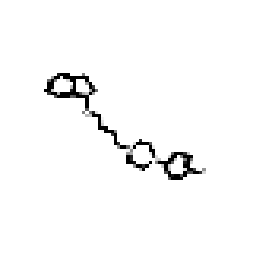 Fc1ccc(N2CCN(CCCCOC3CCc4ccccc43)CC2)cc1